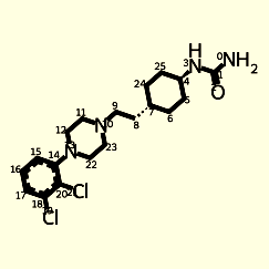 NC(=O)N[C@H]1CC[C@H](CCN2CCN(c3cccc(Cl)c3Cl)CC2)CC1